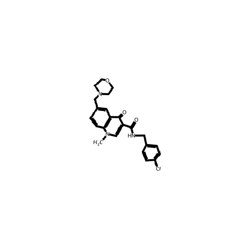 Cn1cc(C(=O)NCc2ccc(Cl)cc2)c(=O)c2cc(CN3CCOCC3)ccc21